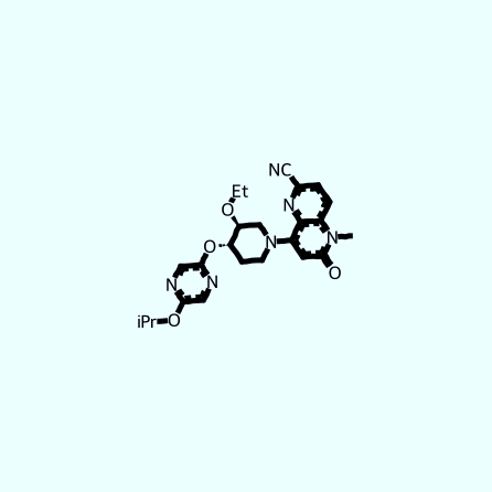 CCO[C@H]1CN(c2cc(=O)n(C)c3ccc(C#N)nc23)CC[C@@H]1Oc1cnc(OC(C)C)cn1